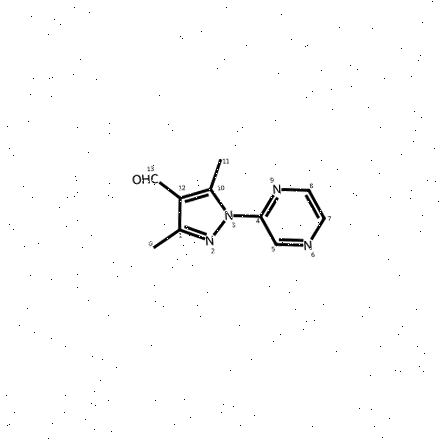 Cc1nn(-c2cnccn2)c(C)c1C=O